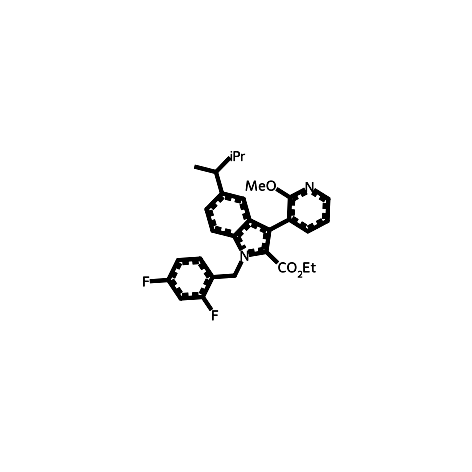 CCOC(=O)c1c(-c2cccnc2OC)c2cc(C(C)C(C)C)ccc2n1Cc1ccc(F)cc1F